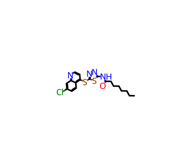 CCCCCCCC(=O)Nc1nnc(Sc2ccnc3cc(Cl)ccc23)s1